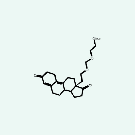 COCCOCOCC[C@]12CCC3=C4CCC(=O)C=C4CCC3C1CCC2=O